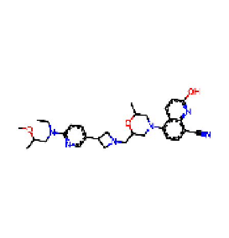 CCN(CC(C)OC)c1ccc(C2CN(CC3CN(c4ccc(C#N)c5nc(O)ccc45)CC(C)O3)C2)cn1